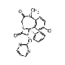 CN1C(=O)CN2C(=O)[C@@H](Oc3ncccn3)[C@]2(c2ccccc2)c2cc(Cl)ccc21